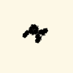 CC1C=CC2=C3C1C(C)(C)c1cc(-c4ccc5ccccc5c4)cc4c1N3c1c(cc(N(c3ccc5c(c3)C(C)(C)c3ccccc3-5)c3ccc5c(c3)C(C)(C)c3ccccc3-5)cc1C4(C)C)C2(C)C